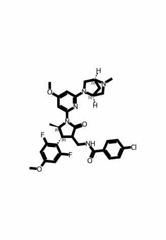 COc1cc(N2C[C@@H]3C[C@H]2CN3C)nc(N2C(=O)C(CNC(=O)c3ccc(Cl)cc3)[C@H](c3c(F)cc(OC)cc3F)[C@H]2C)c1